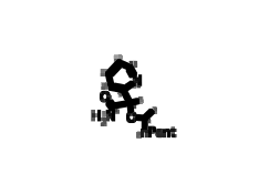 CCCCCC(C)OC(C)(C(N)=O)c1ccccn1